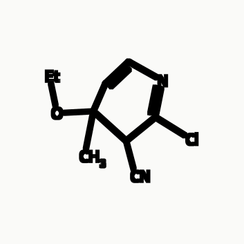 CCOC1(C)C=CN=C(Cl)C1C#N